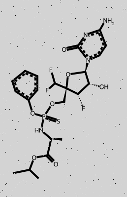 CC(C)OC(=O)[C@H](C)NP(=S)(OC[C@@]1(C(F)F)O[C@@H](n2ccc(N)nc2=O)[C@H](O)[C@@H]1F)Oc1ccccc1